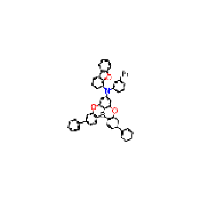 CC(C)c1cccc(N(c2cc3c4c(c2)Oc2cc(-c5ccccc5)ccc2B4C2=C(CC(C4=CCCC=C4)C=C2)O3)c2cccc3c2oc2ccccc23)c1